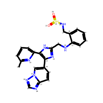 Cc1cccc(-c2[nH]c(CNc3ccccc3CN[SH](=O)=O)nc2-c2ccc3ncnn3c2)n1